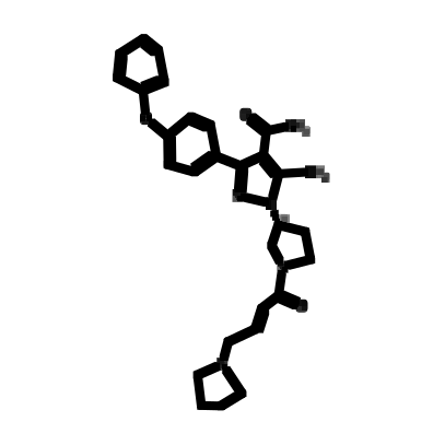 NC(=O)c1c(-c2ccc(Oc3ccccc3)cc2)nn([C@@H]2CCN(C(=O)C=CCN3CCCC3)C2)c1N